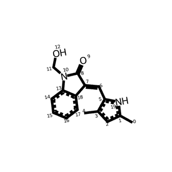 Cc1cc(C)c(C=C2C(=O)N(CO)c3ccccc32)[nH]1